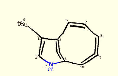 CC(C)(C)c1c[nH]c2c1C=CC=C=C2